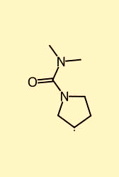 CN(C)C(=O)N1C[CH]CC1